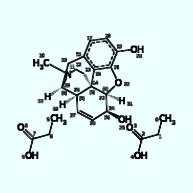 CCC(=O)O.CCC(=O)O.CN1CC[C@]23c4c5ccc(O)c4O[C@H]2[C@@H](O)C=C[C@H]3[C@H]1C5